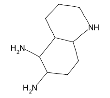 NC1CCC2NCCCC2C1N